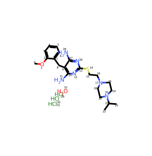 COc1ccccc1Cc1c(N)nc(SCCN2CCN(C(C)C)CC2)nc1N.Cl.Cl.Cl.O